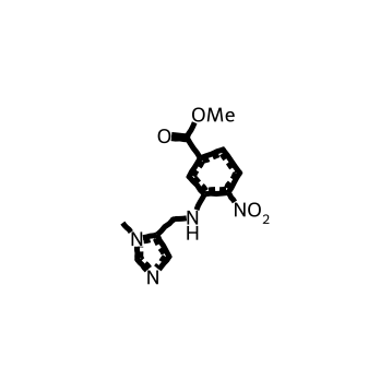 COC(=O)c1ccc([N+](=O)[O-])c(NCc2cncn2C)c1